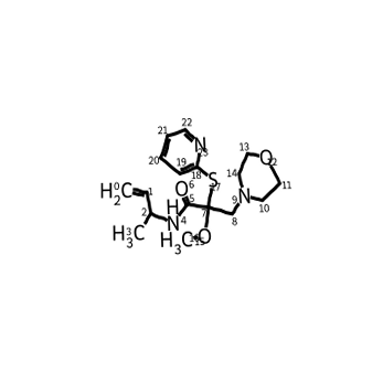 C=CC(C)NC(=O)C(CN1CCOCC1)(OC)Sc1ccccn1